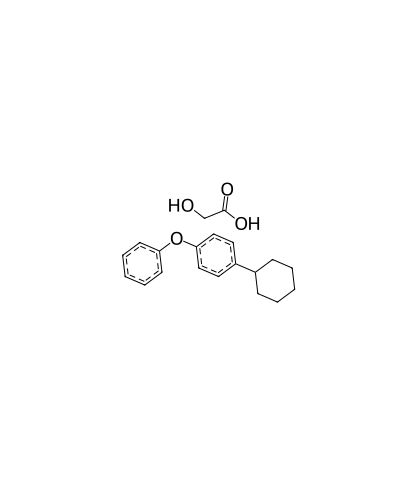 O=C(O)CO.c1ccc(Oc2ccc(C3CCCCC3)cc2)cc1